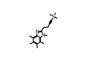 Cc1c(C)c(C)c2c(nc(CCC#C[Si](C)(C)C)n2C)c1C